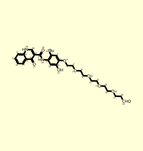 CC(C)(C)c1cc(OCCOCCOCCOCCOCCC=O)c(O)cc1NC(=O)c1c[nH]c2ccccc2c1=O